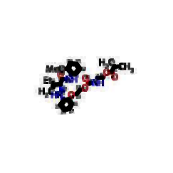 C=C(C)C(=O)OCCNC(=O)OCCOc1ccccc1N/N=C(\C(=C)CC)C(=O)Nc1ccccc1OC